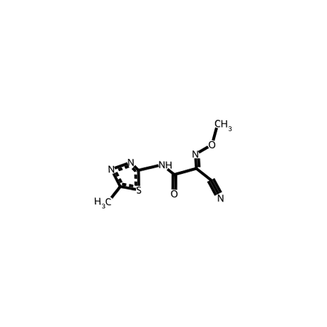 CON=C(C#N)C(=O)Nc1nnc(C)s1